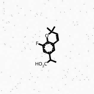 CC(C(=O)O)c1cc(F)c2c(c1)C=CC(C)(C)O2